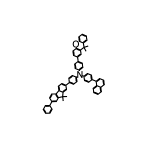 CC1(C)c2ccccc2Oc2ccc(-c3ccc(N(c4ccc(-c5ccc6c(c5)C(C)(C)c5cc(-c7ccccc7)ccc5-6)cc4)c4ccc(-c5cccc6ccccc56)cc4)cc3)cc21